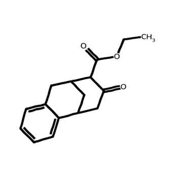 CCOC(=O)C1C(=O)CC2CC1Cc1ccccc12